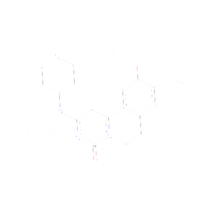 COc1cc2c(cc1OC)-c1cc(N(C3CCNCC3)S(C)(=O)=O)nc(=O)n1CC2